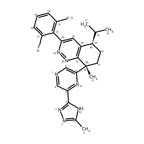 Cc1nnc(-c2cncc([C@@]3(C)CC[C@H](C(C)C)c4cc(-c5c(F)cccc5F)nnc43)n2)[nH]1